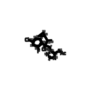 CC(=O)Sc1ncnn1CC(O)(c1ccc(Cl)cc1F)C(C)C1CC1